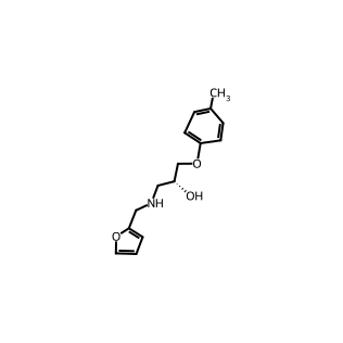 Cc1ccc(OC[C@H](O)CNCc2ccco2)cc1